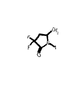 CC1CC(F)(F)C(=O)N1I